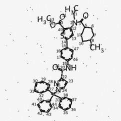 CCN(C(=O)C1CCC(C)CC1)c1cc(-c2ccc(NC(=O)c3ccn(C(c4ccccc4)(c4ccccc4)c4ccccc4)n3)cc2)sc1C(=O)OC